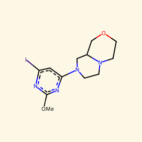 COc1nc(I)cc(N2CCN3CCOCC3C2)n1